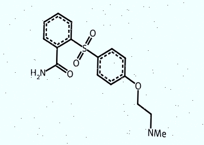 CNCCOc1ccc(S(=O)(=O)c2ccccc2C(N)=O)cc1